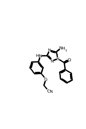 N#CCOc1cccc(Nc2nc(N)n(C(=O)c3ccccc3)n2)c1